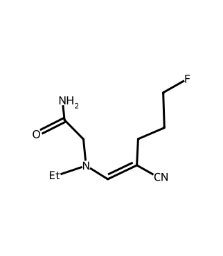 CCN(C=C(C#N)CCCF)CC(N)=O